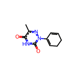 Cc1nn(C2=CCCC=C2)c(=O)[nH]c1=O